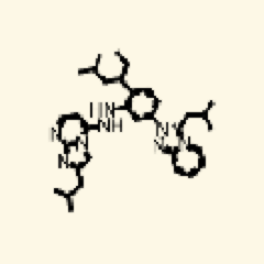 CCC(CC(C)C)c1ccc(-[n+]2nc3ccccn3c2CC(C)C)cc1NNc1ccnc2nc(CC(C)C)cn12